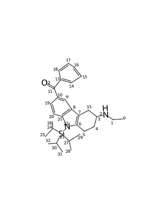 CCNC1CCc2c(c3cc(C(=O)c4ccccc4)ccc3n2[Si](C(C)C)(C(C)C)C(C)C)C1